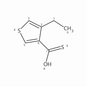 CCc1cscc1C(O)=S